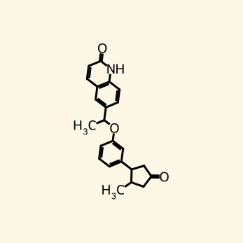 CC(Oc1cccc(C2CC(=O)CC2C)c1)c1ccc2[nH]c(=O)ccc2c1